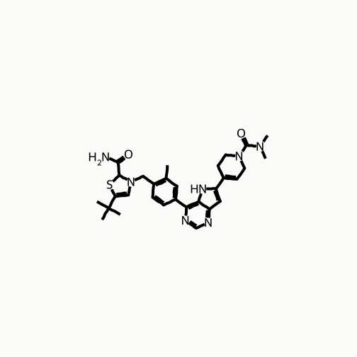 Cc1cc(-c2ncnc3cc(C4=CCN(C(=O)N(C)C)CC4)[nH]c23)ccc1CN1C=C(C(C)(C)C)SC1C(N)=O